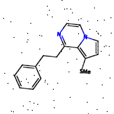 CSc1ccn2ccnc(CCc3ccccc3)c12